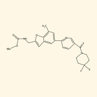 Cc1cc(-c2ccc(C(=S)N3CCC(F)(F)CC3)cn2)cc2cc(CNC(=O)OC(C)(C)C)oc12